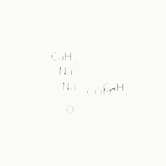 O=C([O-])[O-].[CaH2].[CaH2].[Na+].[Na+]